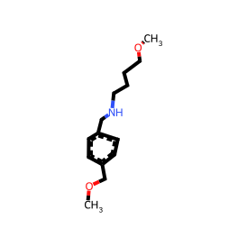 COCCCCNCc1ccc(COC)cc1